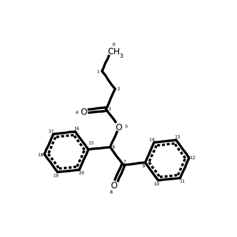 CCCC(=O)OC(C(=O)c1ccccc1)c1ccccc1